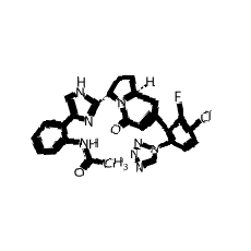 CC(=O)Nc1ccccc1-c1c[nH]c([C@@H]2CC[C@H]3CC(c4c(-n5cnnn5)ccc(Cl)c4F)=CC(=O)N32)n1